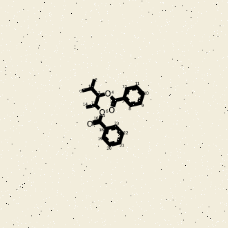 CC(C)C(OC(=O)c1ccccc1)C(C)OC(=O)c1ccccc1